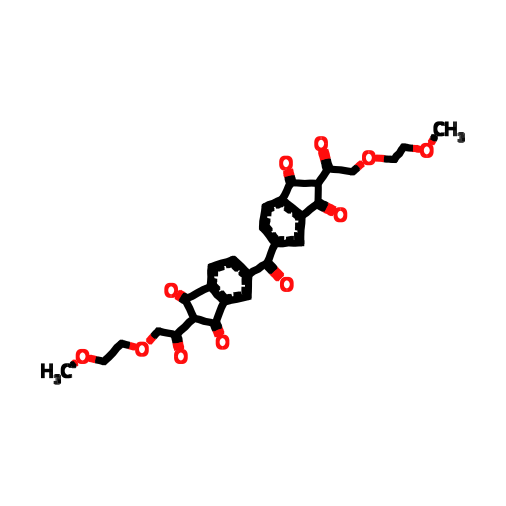 COCCOCC(=O)C1C(=O)c2ccc(C(=O)c3ccc4c(c3)C(=O)C(C(=O)COCCOC)C4=O)cc2C1=O